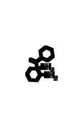 C=C(C1CCCCC1)C1(N)CCCCC1N